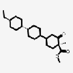 CC[C@H]1CC[C@H](C2CCC(C3CC[C@](C)(C(=O)OC)C(=O)C3)CC2)CC1